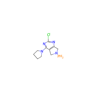 PN1Cc2nc(Cl)nc(N3CCCC3)c2C1